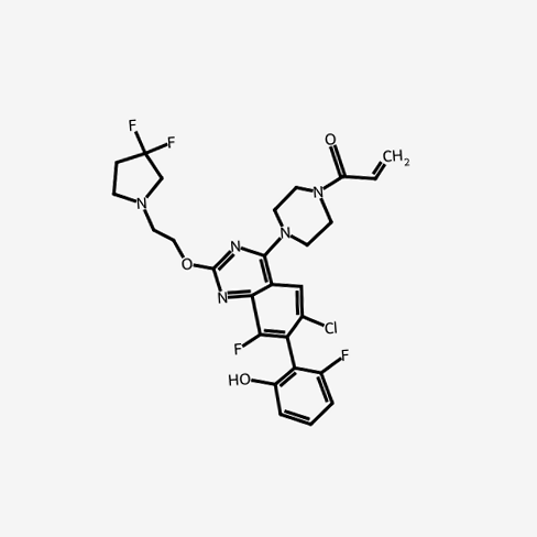 C=CC(=O)N1CCN(c2nc(OCCN3CCC(F)(F)C3)nc3c(F)c(-c4c(O)cccc4F)c(Cl)cc23)CC1